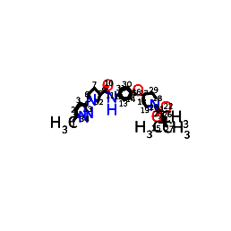 Cc1ccc(N2CCC(C(=O)Nc3ccc(OC4CCN(C(=O)OC(C)(C)C)CC4)cc3)C2)nn1